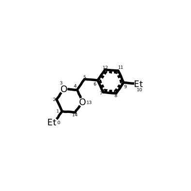 [CH2-][CH+]C1COC(Cc2ccc(CC)cc2)OC1